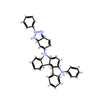 c1ccc(-n2nc3ccc(-n4c5ccccc5c5c6c7ccccc7n(-c7ccccc7)c6ccc54)cc3n2)cc1